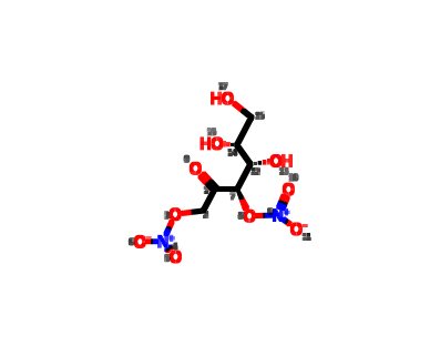 O=C(CO[N+](=O)[O-])[C@H](O[N+](=O)[O-])[C@@H](O)[C@H](O)CO